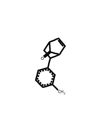 Cc1cccc(C2CC3C=CC2C3=O)c1